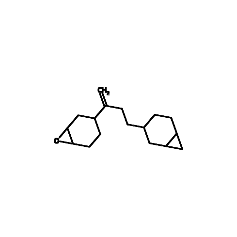 C=C(CCC1CCC2CC2C1)C1CCC2OC2C1